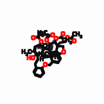 CC(=O)OCC[C@]12COC[C@H]1[C@]1(C)CC[C@@H]3[C@@](C)(C1[C@H](OC(C)=O)[C@@H]2OC(C)=O)[C@H](OC(C)=O)C=C(C)[C@]3(O)CCc1ccccc1OCc1ccccc1